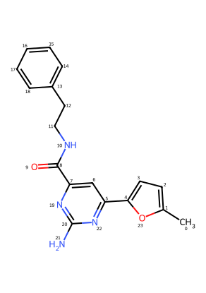 Cc1ccc(-c2cc(C(=O)NCCc3ccccc3)nc(N)n2)o1